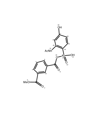 COC(=O)c1cccc(C(=O)O[As](=O)(O)c2ccc(O)cc2NC(C)=O)c1